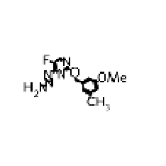 COc1cc(C)cc(COc2ncc(F)c(N=NN)n2)c1